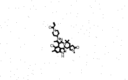 C=CC(=O)N1CCC(n2nc(N3CCC4(CC(=O)N(C)C4)CC3(C)C)c(-c3c(Cl)c(C)cc4[nH]ncc34)c2C)CC1